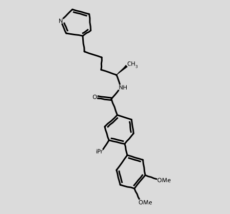 COc1ccc(-c2ccc(C(=O)N[C@H](C)CCCc3cccnc3)cc2C(C)C)cc1OC